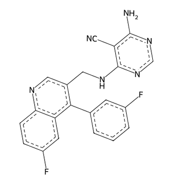 N#Cc1c(N)ncnc1NCc1cnc2ccc(F)cc2c1-c1cccc(F)c1